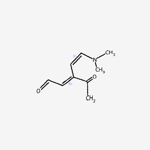 CC(=O)C(/C=C\N(C)C)=C/C=O